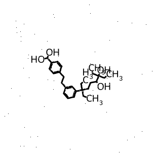 CCC(CC)(CCC(O)C(O)(CC)CC)c1cccc(CCc2ccc(C(O)O)cc2)c1